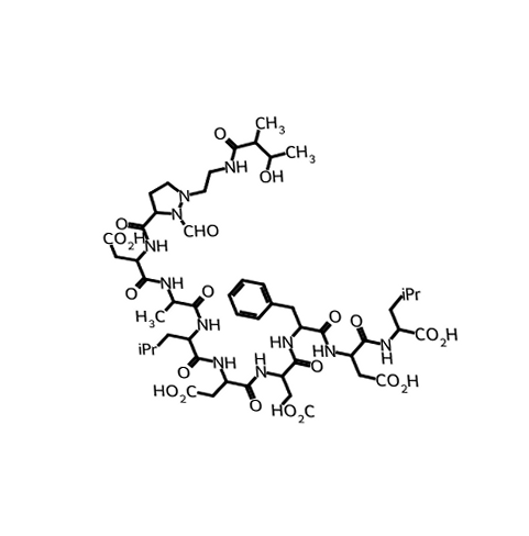 CC(C)CC(NC(=O)C(CC(=O)O)NC(=O)C(Cc1ccccc1)NC(=O)C(CC(=O)O)NC(=O)C(CC(=O)O)NC(=O)C(CC(C)C)NC(=O)C(C)NC(=O)C(CC(=O)O)NC(=O)C1CCN(CCNC(=O)C(C)C(C)O)N1C=O)C(=O)O